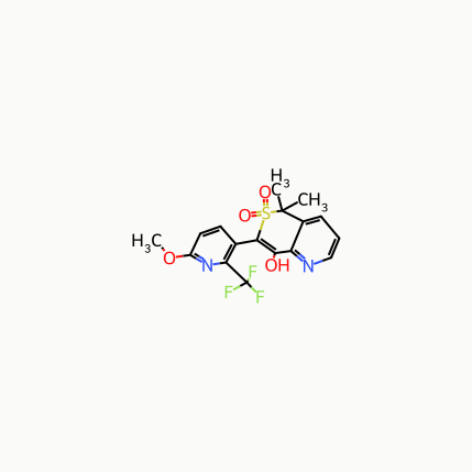 COc1ccc(C2=C(O)c3ncccc3C(C)(C)S2(=O)=O)c(C(F)(F)F)n1